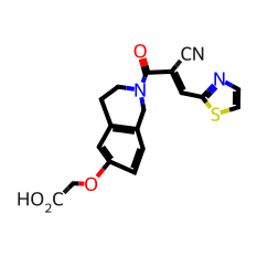 N#CC(=Cc1nccs1)C(=O)N1CCc2cc(OCC(=O)O)ccc2C1